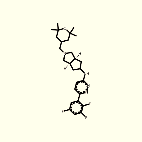 CC1(C)CC(CN2C[C@H]3CC(Nc4ccc(-c5cc(F)cc(F)c5F)nn4)C[C@H]3C2)CC(C)(C)O1